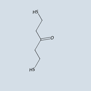 O=C(CCS)CCS